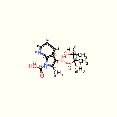 Cc1c(B2OC(C)(C)C(C)(C)O2)c2cccnc2n1C(=O)O